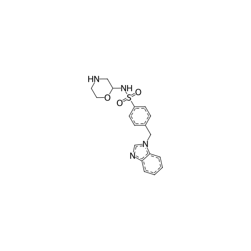 O=S(=O)(NC1CNCCO1)c1ccc(Cn2cnc3ccccc32)cc1